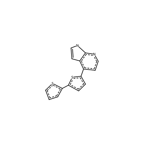 C1=Cc2c(-c3ccc(-c4cccs4)s3)ccnc2[N]1